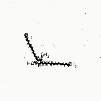 CCCCCCCCC=CCCCCCCCC(=O)N(CCO)C(CCCCCCC=CCCCCCCCC)C(=O)OCC